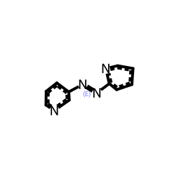 c1ccc(/N=N/c2cccnc2)nc1